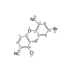 N#Cc1ccc(Oc2c(F)cc(Br)cc2C#N)cc1Cl